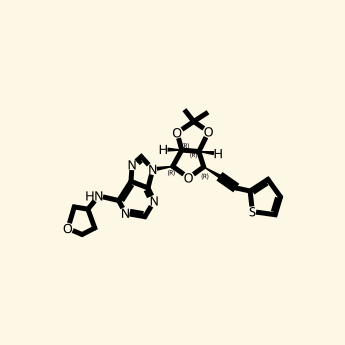 CC1(C)O[C@@H]2[C@H](O1)[C@@H](C#Cc1cccs1)O[C@H]2n1cnc2c(NC3CCOC3)ncnc21